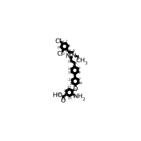 CCn1cc(-c2ccc(Cl)cc2Cl)nc1/C=C/c1ccc(-c2ccc(Oc3ccc(C(=O)O)cc3N)cc2)cc1